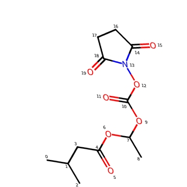 CC(C)CC(=O)OC(C)OC(=O)ON1C(=O)CCC1=O